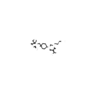 CCCCN1C(=O)C(=C(N)N)C(=O)N(C2CCC(C)(CN3C(=O)NC(=O)C34COC4)CC2)C1=O